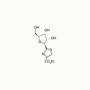 CCOC(=O)c1csc([C@H]2O[C@@H](CO)[C@H](O)[C@@H]2O)n1